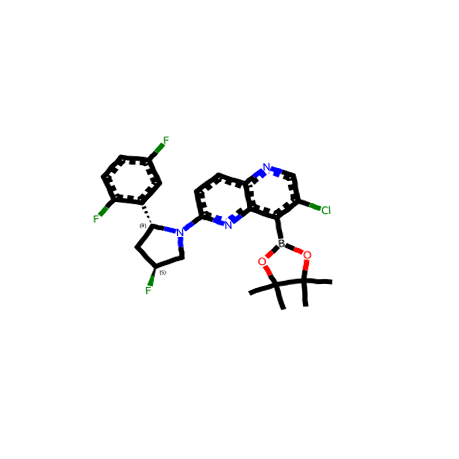 CC1(C)OB(c2c(Cl)cnc3ccc(N4C[C@@H](F)C[C@@H]4c4cc(F)ccc4F)nc23)OC1(C)C